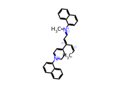 C\C=C/C(=C\C=[N+](/C)c1cccc2ccccc12)C1=CC=[N+](c2cccc3ccccc23)CC1